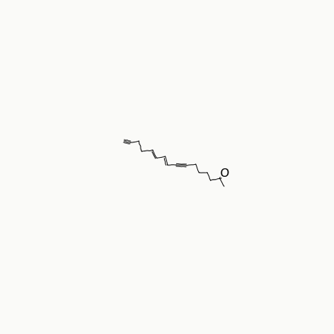 C#CCC/C=C/C=C/C#CCCCCC(C)=O